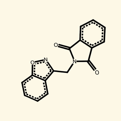 O=C1c2ccccc2C(=O)N1Cc1noc2ccccc12